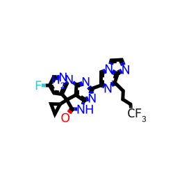 Nc1nc(-c2cn3ccnc3c(CCCC(F)(F)F)n2)nc2c1C(c1cncc(F)c1)(C1CC1)C(=O)N2